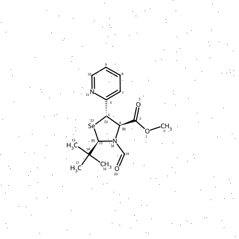 COC(=O)[C@@H]1[C@@H](c2ccccn2)[Se][C@H](C(C)(C)C)N1C=O